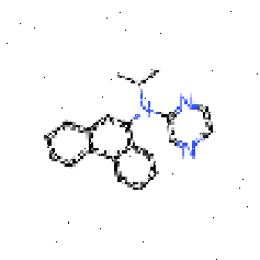 CC(C)N(c1cnccn1)c1cc2ccccc2c2ccccc12